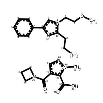 COCCn1cc(-c2ccccc2)nc1CCN.Cn1ncc(C(=O)N2CCC2)c1C(=O)O